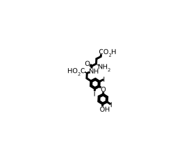 N[C@@H](CCC(=O)O)C(=O)N[C@@H](Cc1cc(I)c(Oc2ccc(O)c(I)c2)c(I)c1)C(=O)O